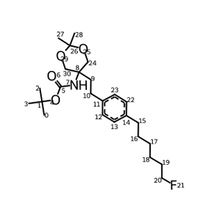 CC(C)(C)OC(=O)NC1(CCc2ccc(CCCCCCF)cc2)COC(C)(C)OC1